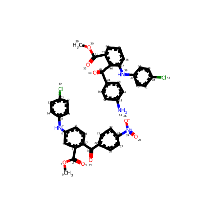 COC(=O)c1cc(Nc2ccc(Cl)cc2)ccc1C(=O)c1ccc([N+](=O)[O-])cc1.COC(=O)c1cccc(Nc2ccc(Cl)cc2)c1C(=O)c1ccc(N)cc1